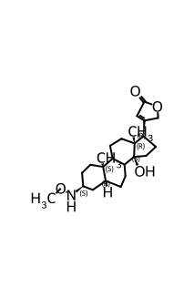 CON[C@H]1CC[C@]2(C)C3CC[C@]4(C)[C@@H](C5=CC(=O)OC5)CC[C@]4(O)C3CC[C@@H]2C1